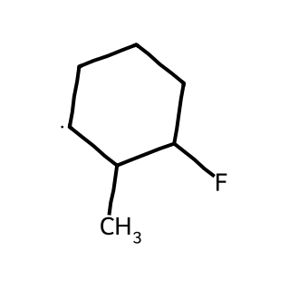 CC1[CH]CCCC1F